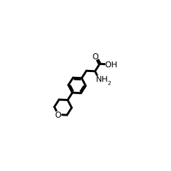 NC(Cc1ccc(C2CCOCC2)cc1)C(=O)O